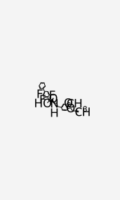 C#CCOc1ccc(CCNC(=O)C(O)c2c(F)cc(-c3ccccc3)c(F)c2F)cc1OC